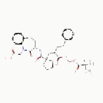 CC(C)(C)C(=O)OCOC(=O)C(CCc1ccccc1)CC1(C(=O)NC2CCc3ccccc3N(CC(=O)O)C2=O)CCCC1